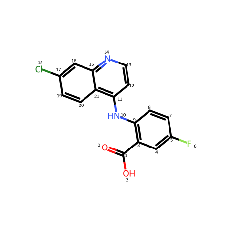 O=C(O)c1cc(F)ccc1Nc1ccnc2cc(Cl)ccc12